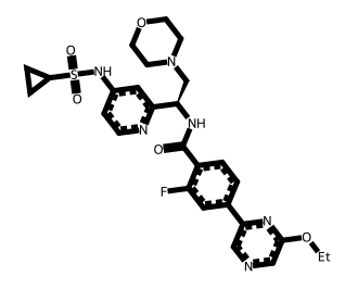 CCOc1cncc(-c2ccc(C(=O)N[C@H](CN3CCOCC3)c3cc(NS(=O)(=O)C4CC4)ccn3)c(F)c2)n1